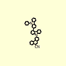 N#Cc1cc2ccc(-n3c4ccccc4c4c(-c5ccc6c7ccccc7n(-c7ccccc7)c6c5)cccc43)cc2c2ccccc12